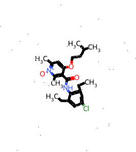 CCc1cc(Cl)cc(CC)c1NC(=O)c1c(OCCC(C)C)cc(C)[n+]([O-])c1C